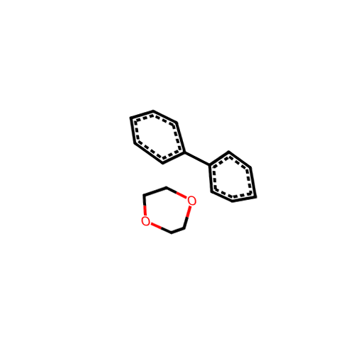 C1COCCO1.c1ccc(-c2ccccc2)cc1